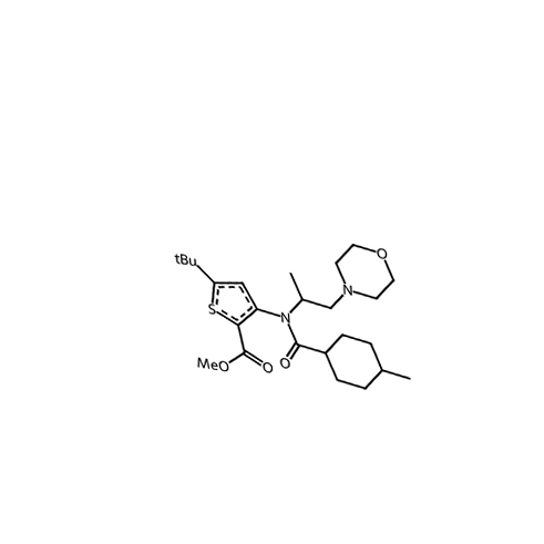 COC(=O)c1sc(C(C)(C)C)cc1N(C(=O)C1CCC(C)CC1)C(C)CN1CCOCC1